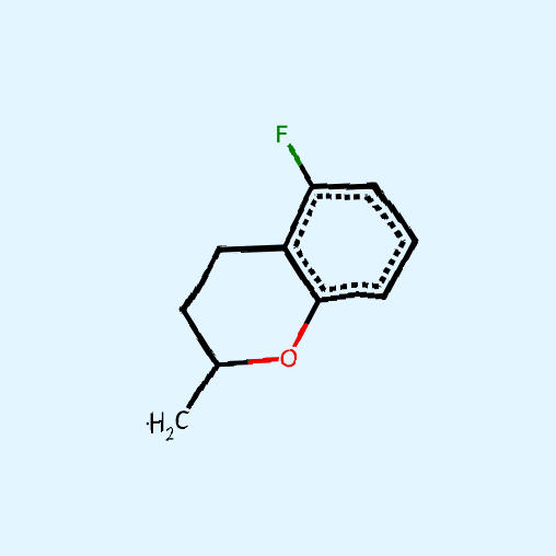 [CH2]C1CCc2c(F)cccc2O1